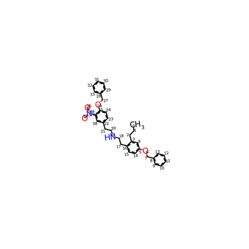 CCCc1cc(OCc2ccccc2)ccc1CCNCCc1ccc(OCc2ccccc2)c([N+](=O)[O-])c1